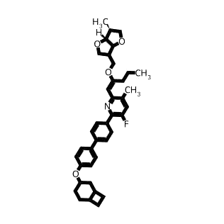 CCC/C(=C\c1nc(C2C=CC(c3ccc(OC4CCC5CCC5C4)cc3)=CC2)c(F)cc1C)OCC1CO[C@H]2C1OC[C@H]2C